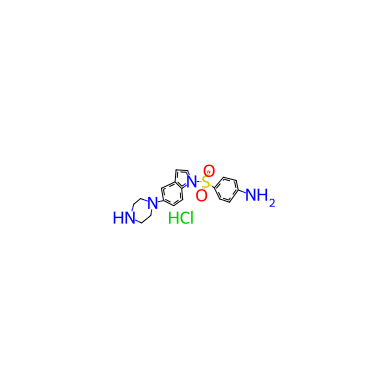 Cl.Nc1ccc(S(=O)(=O)n2ccc3cc(N4CCNCC4)ccc32)cc1